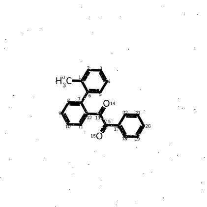 Cc1ccccc1-c1ccccc1C(=O)C(=O)c1ccccc1